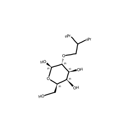 CCCC(CCC)CO[C@@H]1[C@@H](O)[C@@H](O)[C@@H](CO)O[C@H]1O